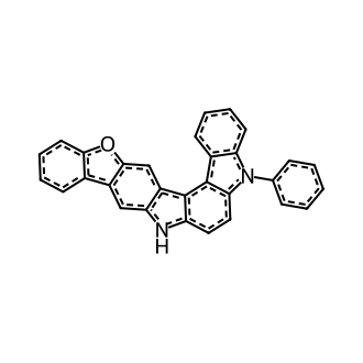 c1ccc(-n2c3ccccc3c3c4c(ccc32)[nH]c2cc3c(cc24)oc2ccccc23)cc1